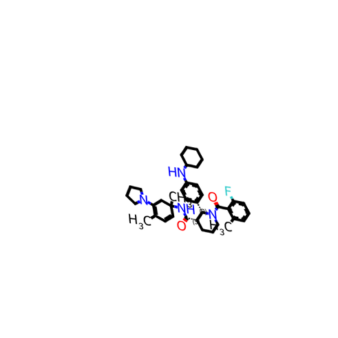 CC1=C(N2CCCC2)CC(C)(NC(=O)[C@H]2CCCN(C(=O)c3c(C)cccc3F)[C@H]2c2ccc(NC3CCCCC3)cc2)C=C1